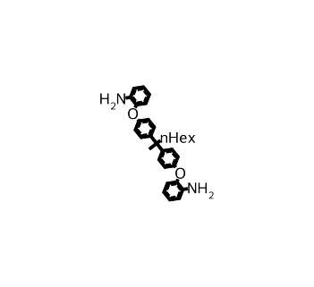 CCCCCCC(C)(c1ccc(Oc2ccccc2N)cc1)c1ccc(Oc2ccccc2N)cc1